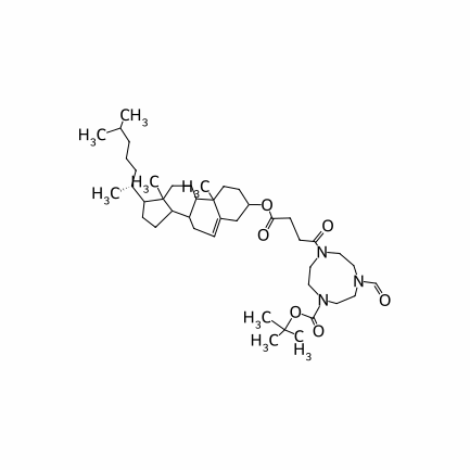 CC(C)CCC[C@@H](C)C1CCC2C3CC=C4CC(OC(=O)CCC(=O)N5CCN(C=O)CCN(C(=O)OC(C)(C)C)CC5)CCC4(C)C3CCC21C